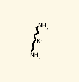 NCCCCCCCN.[K]